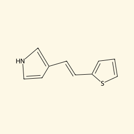 C(=Cc1cccs1)c1cc[nH]c1